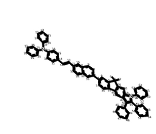 CC1(C)c2cc(-c3ccc4cc(/C=C/c5ccc(N(c6ccccc6)c6ccccc6)cc5)ccc4c3)ccc2-c2cc3c(-c4ccccc4)c(-c4ccccc4)n(-c4ccccc4)c3cc21